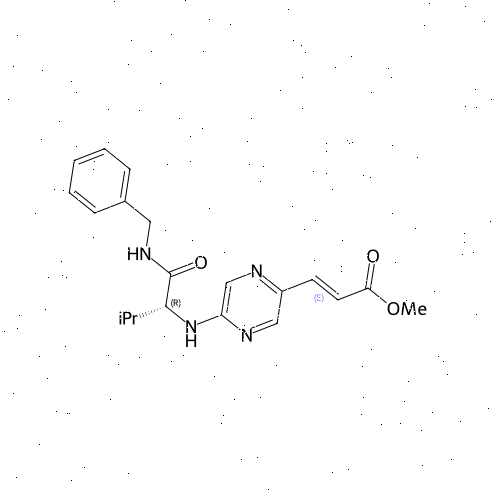 COC(=O)/C=C/c1cnc(N[C@@H](C(=O)NCc2ccccc2)C(C)C)cn1